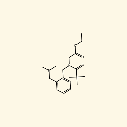 CCOC(=O)CN(Cc1ccccc1CN(C)C)C(=O)C(C)(C)C